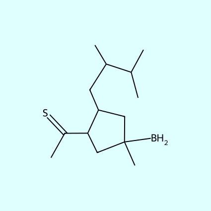 BC1(C)CC(CC(C)C(C)C)C(C(C)=S)C1